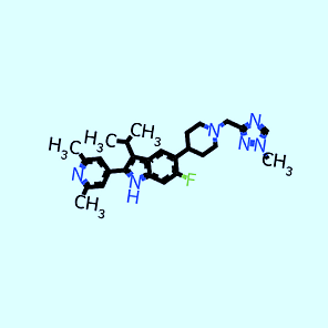 Cc1cc(-c2[nH]c3cc(F)c(C4CCN(Cc5ncn(C)n5)CC4)cc3c2C(C)C)cc(C)n1